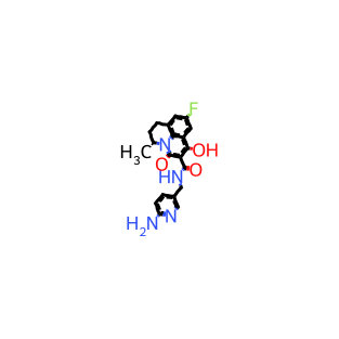 C[C@@H]1CCc2cc(F)cc3c(O)c(C(=O)NCc4ccc(N)nc4)c(=O)n1c23